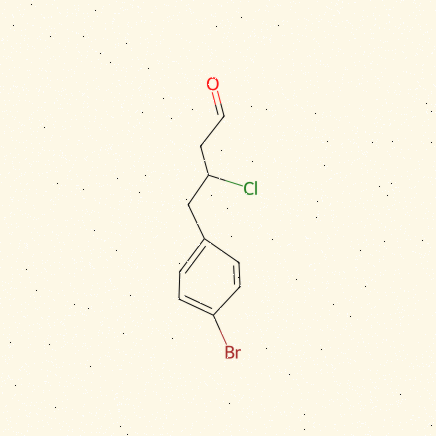 O=CCC(Cl)Cc1ccc(Br)cc1